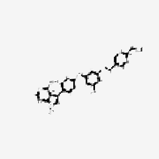 CC(C)n1cc(-c2ccc(Oc3cc(F)cc(OCc4cnc(CO)nc4)c3)cc2)c2c(N)ncnc21